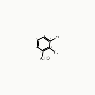 O=Cc1[c]ccc(F)c1F